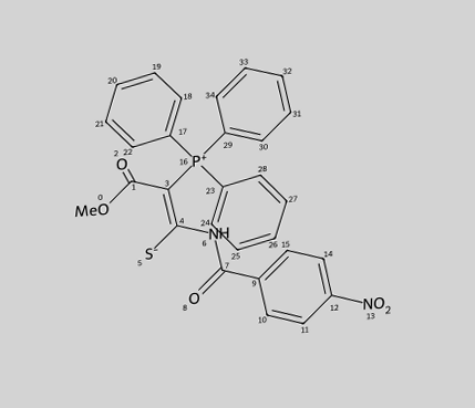 COC(=O)/C(=C(\[S-])NC(=O)c1ccc([N+](=O)[O-])cc1)[P+](c1ccccc1)(c1ccccc1)c1ccccc1